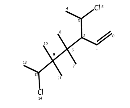 C=CC(C(C)Cl)C(C)(C)C(C)(C)C(C)Cl